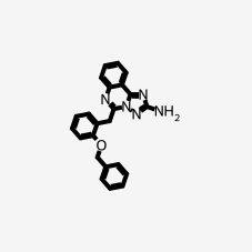 Nc1nc2c3ccccc3nc(Cc3ccccc3OCc3ccccc3)n2n1